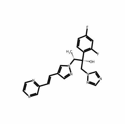 C[C@@H](n1cc(/C=C/c2cnccn2)cn1)[C@](O)(Cn1cncn1)c1ccc(F)cc1F